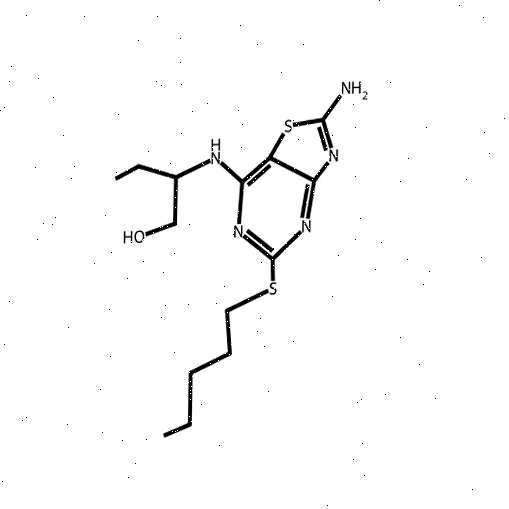 CCCCCSc1nc(NC(CC)CO)c2sc(N)nc2n1